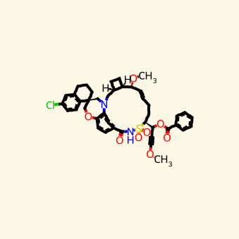 COC#CC(OC(=O)c1ccccc1)[C@@H]1CC/C=C/[C@H](OC)[C@@H]2CC[C@H]2CN2C[C@@]3(CCCc4cc(Cl)ccc43)COc3ccc(cc32)C(=O)NS1(=O)=O